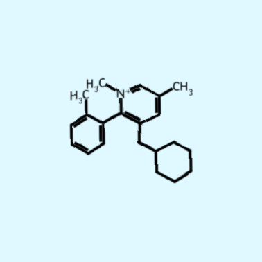 Cc1cc(CC2CCCCC2)c(-c2ccccc2C)[n+](C)c1